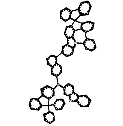 c1ccc(C2(c3ccccc3)c3ccccc3-c3ccc(N(c4ccc5c(-c6ccc7c(c6)c6ccc8c9c6n7-c6ccccc6-c6cccc(c6-9)C86c7ccccc7-c7ccccc76)cccc5c4)c4ccc5c(c4)oc4ccccc45)cc32)cc1